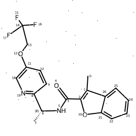 Cc1c(C(=O)N[C@H](C)c2ccc(OCC(F)(F)F)cn2)oc2ccccc12